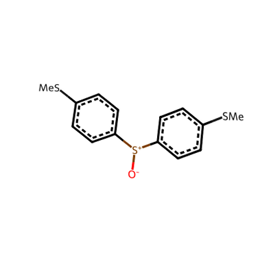 CSc1ccc([S+]([O-])c2ccc(SC)cc2)cc1